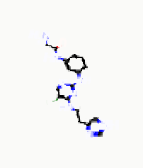 NCC(=O)Nc1cccc(Nc2ncc(Br)c(NCCc3c[nH]cn3)n2)c1